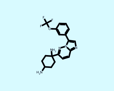 NC1CCC(N)(c2ccc3ncc(-c4cccc(OC(F)(F)F)c4)n3n2)CC1